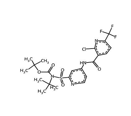 CC(C)(C)OC(=O)N(C(C)(C)C)S(=O)(=O)c1cc(NC(=O)c2ccc(C(F)(F)F)nc2Cl)ccn1